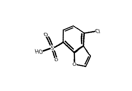 O=S(=O)(O)c1ccc(Cl)c2ccoc12